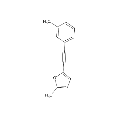 Cc1cccc(C#Cc2ccc(C)o2)c1